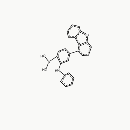 OB(O)c1ccc(-c2cccc3oc4ccccc4c23)cc1Nc1ccccc1